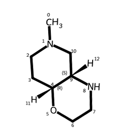 CN1CC[C@H]2OCCN[C@H]2C1